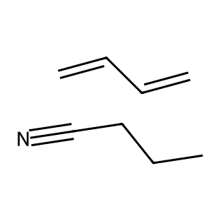 C=CC=C.CCCC#N